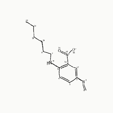 C=Nc1ccc(NCCCCCC)c([N+](=O)[O-])c1